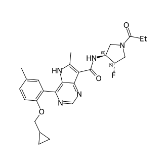 CCC(=O)N1C[C@H](NC(=O)c2c(C)[nH]c3c(-c4cc(C)ccc4OCC4CC4)ncnc23)[C@@H](F)C1